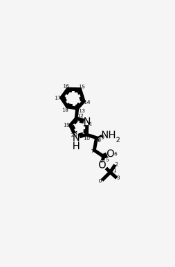 CC(C)(C)OC(=O)C[C@H](N)c1nc(-c2ccccc2)c[nH]1